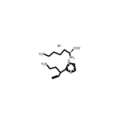 C=CC(CCN)c1ncc[nH]1.NCCCC[C@H](N)C(=O)[O-].[Br+]